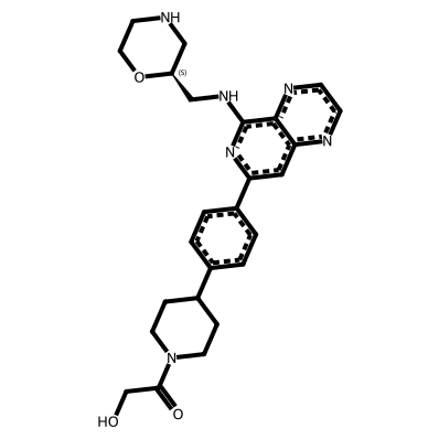 O=C(CO)N1CCC(c2ccc(-c3cc4nccnc4c(NC[C@@H]4CNCCO4)n3)cc2)CC1